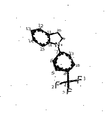 FC(F)(F)c1ccc(N2CCc3ccccc32)cc1